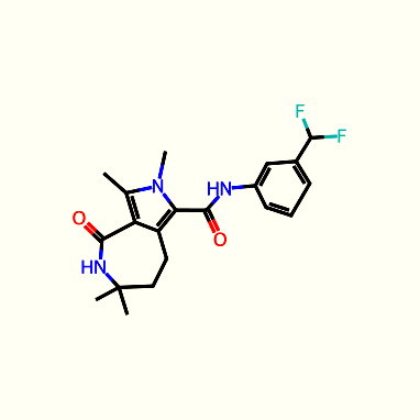 Cc1c2c(c(C(=O)Nc3cccc(C(F)F)c3)n1C)CCC(C)(C)NC2=O